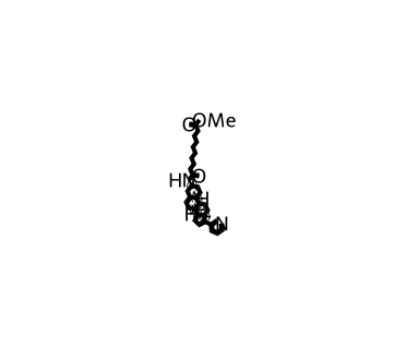 COC(=O)CCCCCCCCC(=O)N[C@H]1CC[C@@]2(C)C(=CC[C@@H]3[C@@H]2CC[C@]2(C)C(c4cccnc4)=CC[C@@H]32)C1